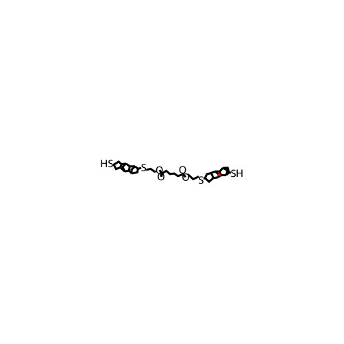 O=C(CCCCC(=O)OCCCSC1CC2CC1C1C3CC(C4CC(S)CC43)C21)OCCCSC1CC2C(C1)C1CC2C2C3CC(S)C(C3)C12